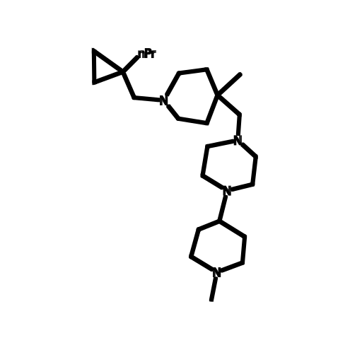 CCCC1(CN2CCC(C)(CN3CCN(C4CCN(C)CC4)CC3)CC2)CC1